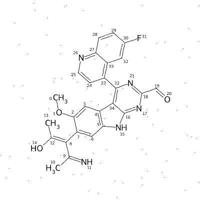 COc1cc2c(cc1/C(C(C)=N)=C(\C)O)[nH]c1nc(C=O)nc(-c3ccnc4ccc(F)cc34)c12